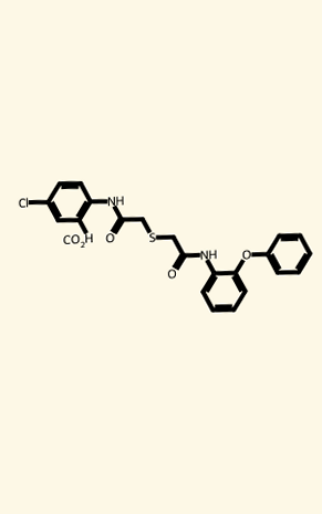 O=C(CSCC(=O)Nc1ccc(Cl)cc1C(=O)O)Nc1ccccc1Oc1ccccc1